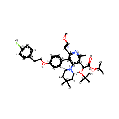 CO/C=C/c1nc(C)c(C(OC(C)(C)C)C(=O)OC(C)C)c(N2CCC(C)(C)CC2)c1-c1ccc(OCCc2ccc(F)cc2)cc1